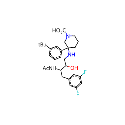 CC(=O)NC(Cc1cc(F)cc(F)c1)C(O)CNC1(c2cccc(C(C)(C)C)c2)CCCN(C(=O)O)C1